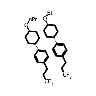 CCCO[C@H]1CC[C@H](c2ccc(CCC(F)(F)F)cc2)CC1.CCO[C@H]1CC[C@H](c2ccc(CCC(F)(F)F)cc2)CC1